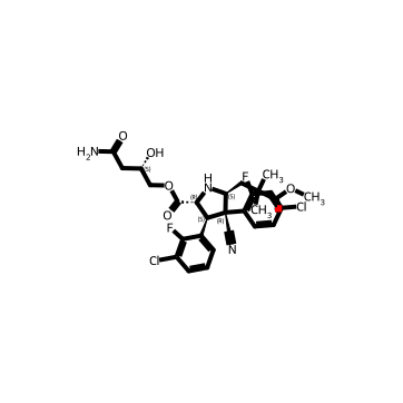 COC(=O)C(C)(C)C[C@@H]1N[C@@H](C(=O)OC[C@@H](O)CC(N)=O)[C@H](c2cccc(Cl)c2F)[C@@]1(C#N)c1ccc(Cl)cc1F